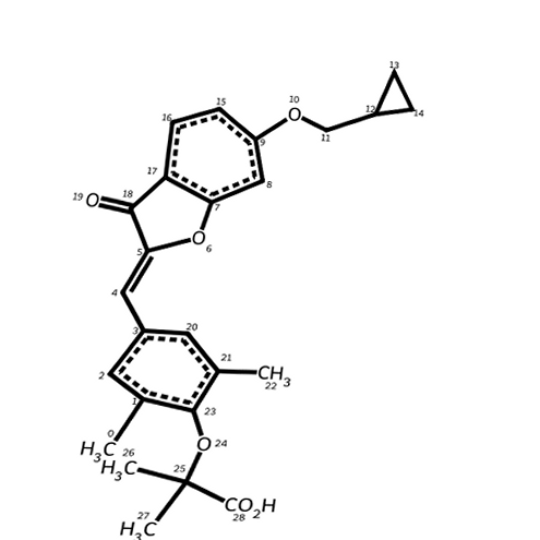 Cc1cc(/C=C2\Oc3cc(OCC4CC4)ccc3C2=O)cc(C)c1OC(C)(C)C(=O)O